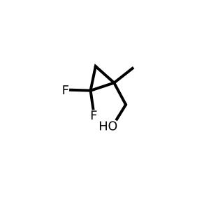 CC1(CO)CC1(F)F